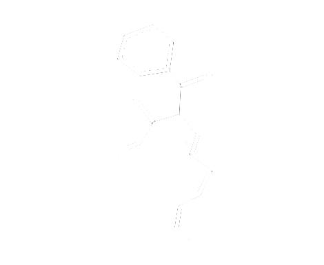 C=C/C=C\C=C\C(C(=O)C=C)C(=O)c1ccccc1